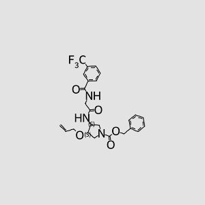 C=CCO[C@H]1CN(C(=O)OCc2ccccc2)C[C@@H]1NC(=O)CNC(=O)c1cccc(C(F)(F)F)c1